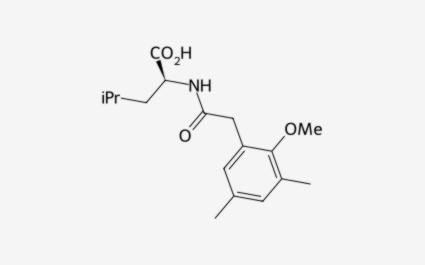 COc1c(C)cc(C)cc1CC(=O)N[C@@H](CC(C)C)C(=O)O